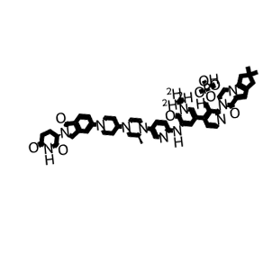 [2H]C([2H])([2H])n1cc(-c2ccnc(N3CCn4c(cc5c4CC(C)(C)C5)C3=O)c2COP(=O)(O)O)cc(Nc2ccc(N3CCN(C4CCN(c5ccc6c(c5)CN([C@H]5CCC(=O)NC5=O)C6=O)CC4)C[C@@H]3C)cn2)c1=O